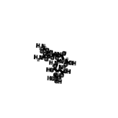 NC(=O)N[C@@H](CC(=O)O)C(=O)O.NC(=O)OP(=O)(OC(N)=O)OC(N)=O.N[C@@H](CC(=O)O)C(=O)O.O=P(O)(O)O